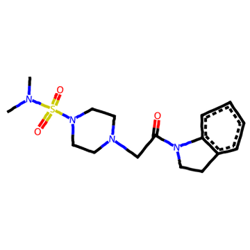 CN(C)S(=O)(=O)N1CCN(CC(=O)N2CCc3ccccc32)CC1